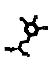 N#Cc1cc(CC[C@H](N)C(=O)O)cc(Cl)c1Cl